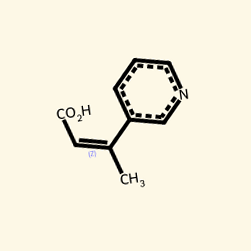 C/C(=C/C(=O)O)c1cccnc1